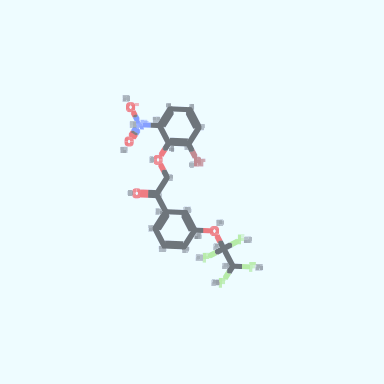 O=C(COc1c(Br)cccc1[N+](=O)[O-])c1cccc(OC(F)(F)C(F)F)c1